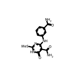 CSc1nc(Nc2cccc(C(N)=O)c2)c(C(N)=O)c(=O)[nH]1